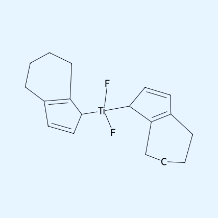 [F][Ti]([F])([CH]1C=CC2=C1CCCC2)[CH]1C=CC2=C1CCCC2